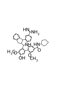 COc1cc(C2Nc3ccc(C(=N)N)cc3C3c4ccccc4CC23)c(-c2ccc(C(=O)NC3CCCCC3)cc2OC)cc1O